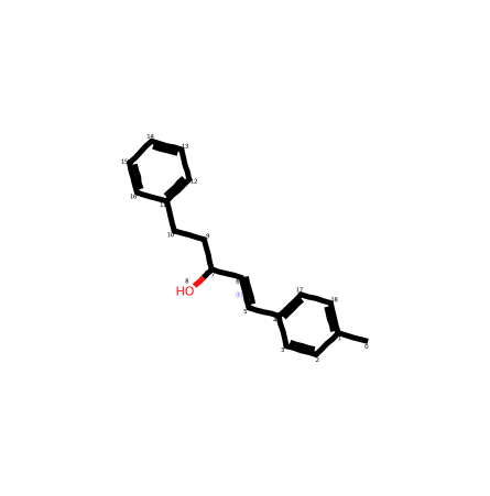 Cc1ccc(/C=C/C(O)CCc2ccccc2)cc1